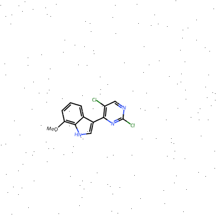 COc1cccc2c(-c3nc(Cl)ncc3Cl)c[nH]c12